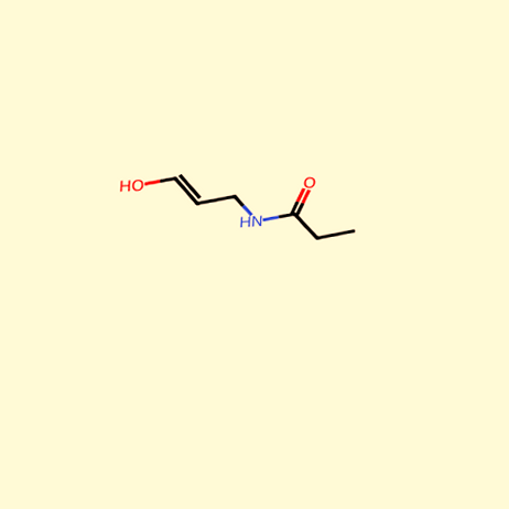 CCC(=O)NCC=CO